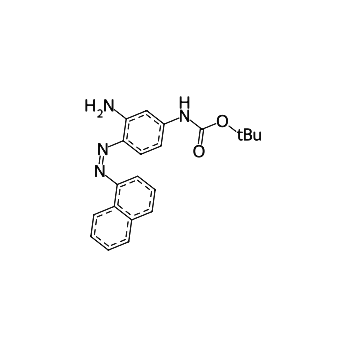 CC(C)(C)OC(=O)Nc1ccc(/N=N\c2cccc3ccccc23)c(N)c1